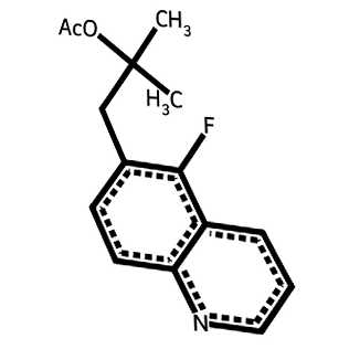 CC(=O)OC(C)(C)Cc1ccc2ncccc2c1F